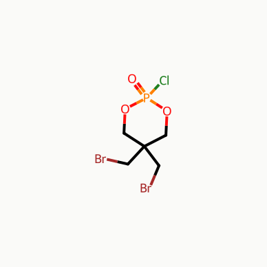 O=P1(Cl)OCC(CBr)(CBr)CO1